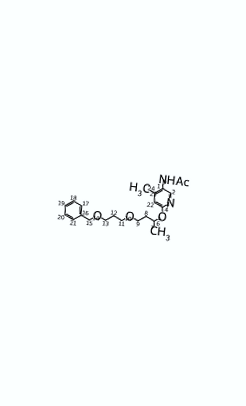 CC(=O)Nc1cnc(OC(C)CCOCCCOCc2ccccc2)cc1C